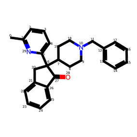 Cc1cccc(C2(C3CCN(Cc4ccccc4)CC3)Cc3ccccc3C2=O)n1